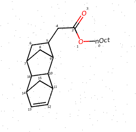 CCCCCCCCOC(=O)CC1CC2CC1C1C3C=CC(C3)C21